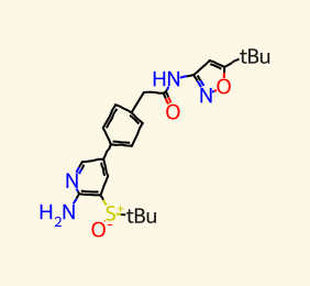 CC(C)(C)c1cc(NC(=O)Cc2ccc(-c3cnc(N)c([S+]([O-])C(C)(C)C)c3)cc2)no1